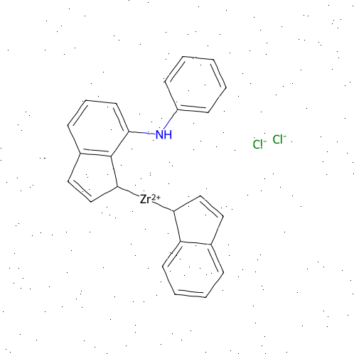 C1=C[CH]([Zr+2][CH]2C=Cc3cccc(Nc4ccccc4)c32)c2ccccc21.[Cl-].[Cl-]